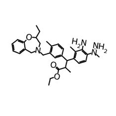 CCOC(=O)C(C)C(c1ccc(C)c(CN2Cc3ccccc3OC(CC)C2)c1)c1ccc(N(C)N)c(N)c1C